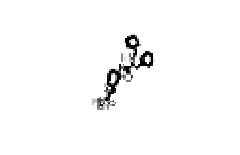 O=C(NO)c1cc2cc(NC(=O)C(Cc3ccccc3)NCc3ccccc3)ccc2s1